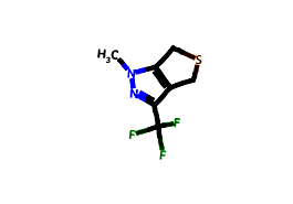 Cn1nc(C(F)(F)F)c2c1CSC2